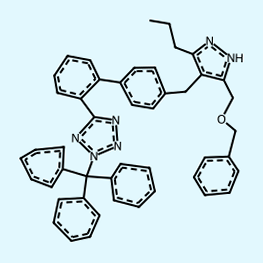 CCCc1n[nH]c(COCc2ccccc2)c1Cc1ccc(-c2ccccc2-c2nnn(C(c3ccccc3)(c3ccccc3)c3ccccc3)n2)cc1